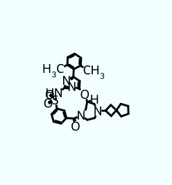 Cc1cccc(C)c1-c1cc2nc(n1)NS(=O)(=O)c1cccc(c1)C(=O)N1CCN(C3CC4(CCCC4)C3)C[C@H](C1)O2